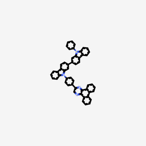 c1ccc(-n2c3ccccc3c3ccc(-c4ccc5c6ccccc6n(-c6ccc(-c7cnc8c9ccccc9c9ccccc9c8n7)cc6)c5c4)cc32)cc1